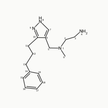 CN(CCN)Cc1c[nH]nc1CCCc1ccccc1